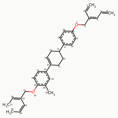 C=C/C=C(\C=C)COc1ccc(C2CC=C(c3ccc(OCC(/C=C\C)=C/C)c(C)c3)CC2)cc1